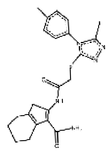 Cc1ccc(-n2c(C)nnc2SCC(=O)NC2=C(C(N)=O)C3=C(CCCC3)C2)cc1